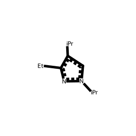 CCc1nn(C(C)C)cc1C(C)C